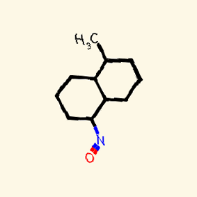 CC1CCCC2C(N=O)CCCC12